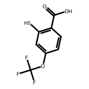 O=C(O)c1ccc(OC(F)(F)F)cc1S